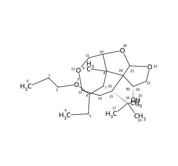 CCCOC(CC)CC1(C)C2COCC[C@@H](C(C)(C)C)C13C(OC[C@@H]3O)O2